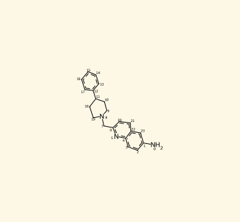 Nc1ccc2nc(CN3CCC(c4ccccc4)CC3)ccc2c1